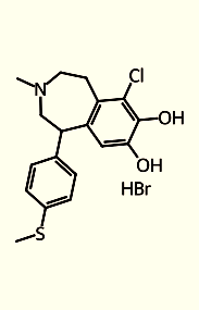 Br.CSc1ccc(C2CN(C)CCc3c2cc(O)c(O)c3Cl)cc1